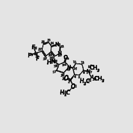 COC(=O)[C@@H]1C[C@H](N(C)C(C)C)CC[C@@H]1N1CCC(Nc2ncnc3ccc(C(F)(F)F)cc23)C1=O